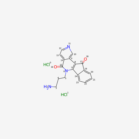 Cl.Cl.NCCCn1c2c(c3cnccc3c1=O)C(=O)c1ccccc1-2